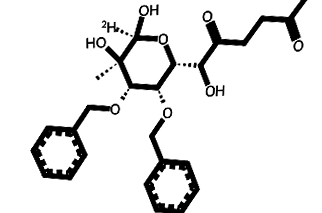 [2H][C@]1(O)O[C@H](C(O)C(=O)CCC(C)=O)[C@H](OCc2ccccc2)[C@H](OCc2ccccc2)[C@@]1(C)O